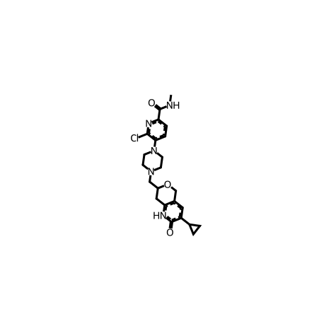 CNC(=O)c1ccc(N2CCN(CC3Cc4[nH]c(=O)c(C5CC5)cc4CO3)CC2)c(Cl)n1